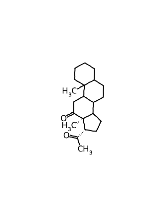 CC(=O)[C@H]1CCC2C3CCC4CCCCC4(C)C3CC(=O)[C@@]21C